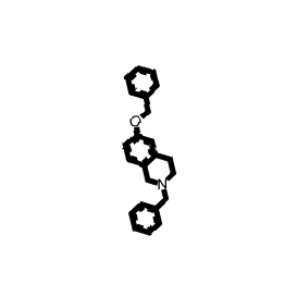 c1ccc(COc2ccc3c(c2)CCN(Cc2ccccc2)C3)cc1